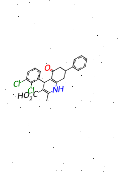 CC1=C(C(=O)O)C(c2cccc(Cl)c2Cl)C2=C(CC(c3ccccc3)CC2=O)N1